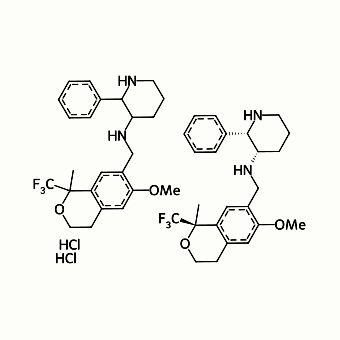 COc1cc2c(cc1CNC1CCCNC1c1ccccc1)C(C)(C(F)(F)F)OCC2.COc1cc2c(cc1CN[C@H]1CCCN[C@H]1c1ccccc1)[C@](C)(C(F)(F)F)OCC2.Cl.Cl